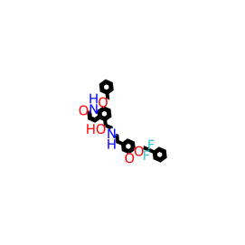 COc1cc(CCNCC(O)c2ccc(OCc3ccccc3)c3[nH]c(=O)ccc23)ccc1OCC(F)(F)c1ccccc1